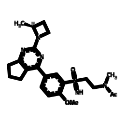 COc1ccc(-c2nc(N3CC[C@@H]3C)nc3c2CCC3)cc1S(=N)(=O)CCN(C)C(C)=O